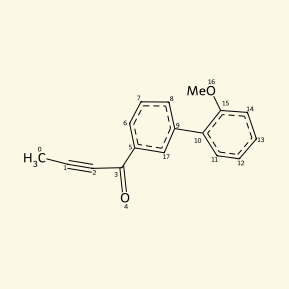 CC#CC(=O)c1cccc(-c2ccccc2OC)c1